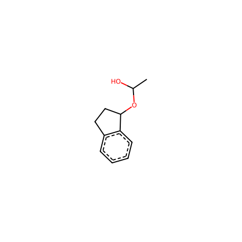 CC(O)OC1CCc2ccccc21